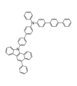 c1ccc(-c2ccc(-c3ccc(N(c4ccccc4)c4ccc(-c5ccc(-n6c7ccccc7c7cc(-c8ccccc8)c8ccccc8c76)cc5)cc4)cc3)cc2)cc1